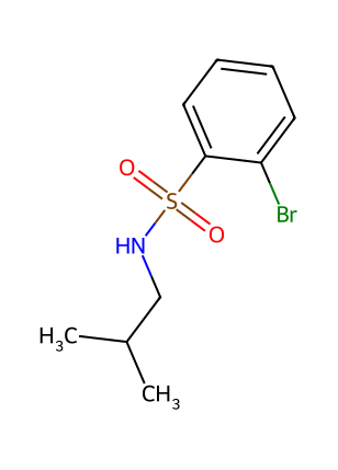 CC(C)CNS(=O)(=O)c1ccccc1Br